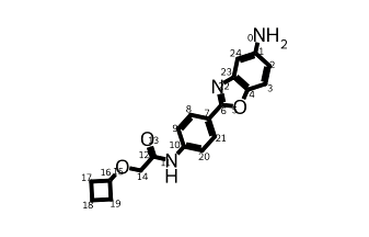 Nc1ccc2oc(-c3ccc(NC(=O)COC4CCC4)cc3)nc2c1